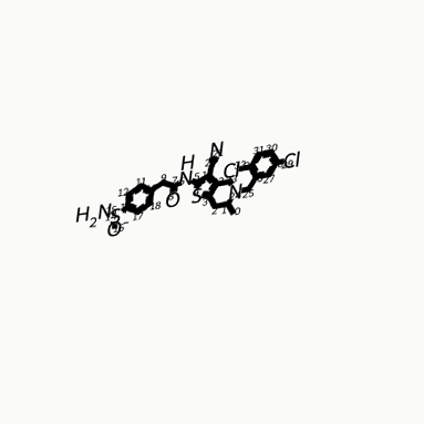 CC1Cc2sc(NC(=O)Cc3ccc([S+](N)[O-])cc3)c(C#N)c2CN1Cc1cc(Cl)ccc1Cl